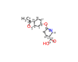 CB1OCc2cc(Oc3ccc(C(=O)O)cn3)ccc21